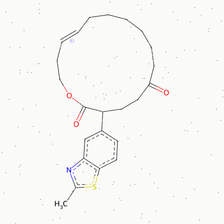 Cc1nc2cc(C3CCC(=O)CCCCCC/C=C/CCOC3=O)ccc2s1